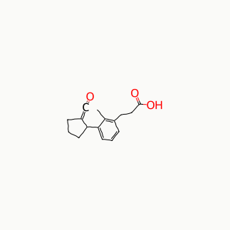 Cc1c(CCC(=O)O)cccc1C1CCCC1=C=O